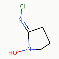 ON1CCC/C1=N\Cl